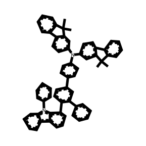 CC1(C)c2ccccc2-c2ccc(N(c3ccc(-c4ccc(-c5cccc6c7ccccc7n(-c7ccccc7)c56)c(-c5ccccc5)c4)cc3)c3ccc4c(c3)C(C)(C)c3ccccc3-4)cc21